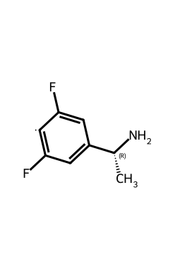 C[C@@H](N)c1cc(F)[c]c(F)c1